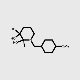 COC1CCC(CN2CCCC(O)(O)[C@@]2(C)O)CC1